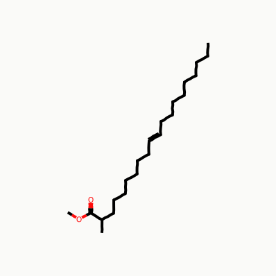 CCCCCCCCCC=CCCCCCCCC(C)C(=O)OC